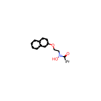 [CH2]C(C)C(=O)N(O)CCOc1ccc2ccccc2c1